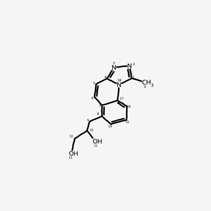 Cc1nnc2ccc3c(CC(O)CO)cccc3n12